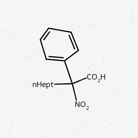 CCCCCCCC(C(=O)O)(c1ccccc1)[N+](=O)[O-]